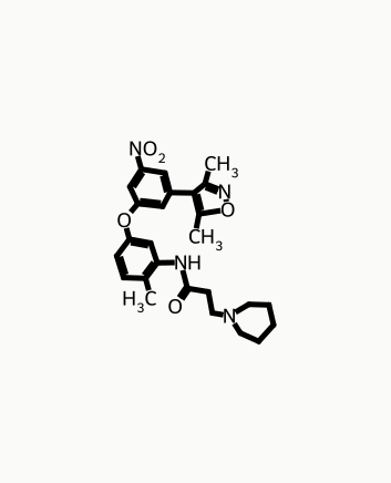 Cc1ccc(Oc2cc(-c3c(C)noc3C)cc([N+](=O)[O-])c2)cc1NC(=O)CCN1CCCCC1